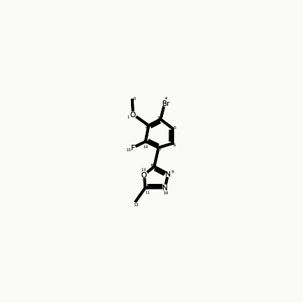 COc1c(Br)ccc(-c2nnc(C)o2)c1F